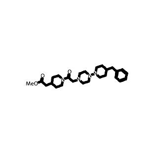 COC(=O)CC1CCN(C(=O)CN2CCN(N3CCC(Cc4ccccc4)CC3)CC2)CC1